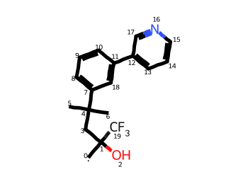 [CH2]C(O)(CC(C)(C)c1cccc(-c2cccnc2)c1)C(F)(F)F